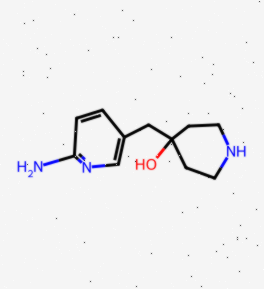 Nc1ccc(CC2(O)CCNCC2)cn1